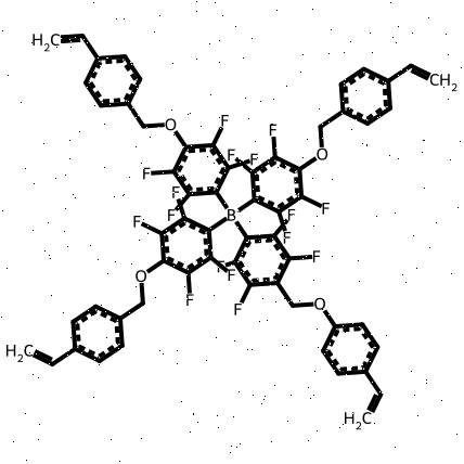 C=Cc1ccc(COc2c(F)c(F)c([B-](c3c(F)c(F)c(COc4ccc(C=C)cc4)c(F)c3F)(c3c(F)c(F)c(OCc4ccc(C=C)cc4)c(F)c3F)c3c(F)c(F)c(OCc4ccc(C=C)cc4)c(F)c3F)c(F)c2F)cc1